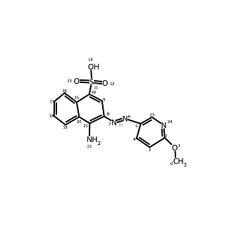 COc1ccc(/N=N/c2cc(S(=O)(=O)O)c3ccccc3c2N)cn1